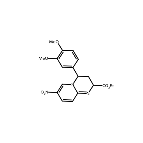 CCOC(=O)C1CC(c2ccc(OC)c(OC)c2)N2C=C([N+](=O)[O-])C=CC2=N1